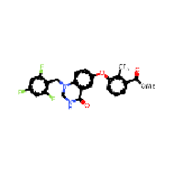 COC(=O)c1cccc(Oc2ccc3c(c2)C(=O)NCN3Cc2c(F)cc(F)cc2F)c1C(F)(F)F